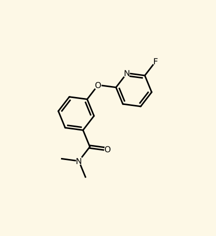 CN(C)C(=O)c1cccc(Oc2cccc(F)n2)c1